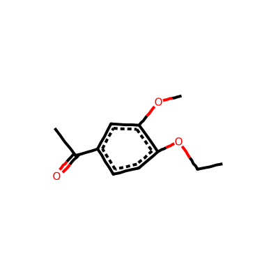 CCOc1ccc(C(C)=O)cc1OC